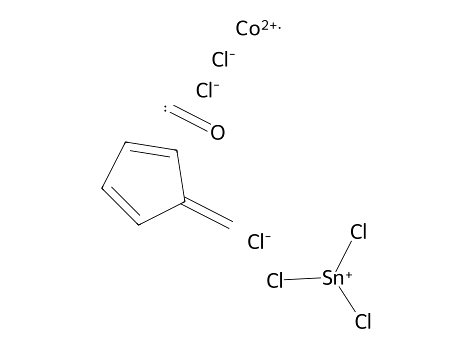 C=C1C=CC=C1.[C]=O.[Cl-].[Cl-].[Cl-].[Cl][Sn+]([Cl])[Cl].[Co+2]